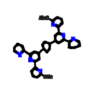 COc1cccc(-c2cc(-c3ccc(-c4cc(-c5ccccn5)nc(-c5cccc(OC)n5)c4)cc3)cc(-c3ccccn3)n2)n1